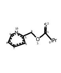 CC(C)C(=S)OCc1ccccn1